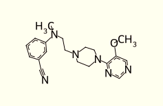 COc1cncnc1N1CCN(CCN(C)c2cccc(C#N)c2)CC1